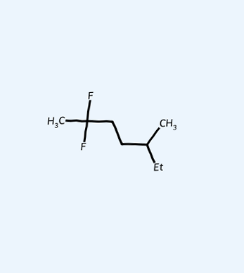 CCC(C)CCC(C)(F)F